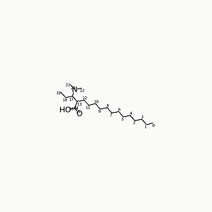 CCCCCCCCCCCCCC(C(=O)O)C(CC)N(C)C